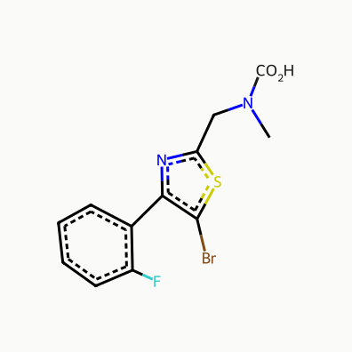 CN(Cc1nc(-c2ccccc2F)c(Br)s1)C(=O)O